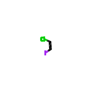 Cl/C=C\I